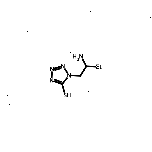 CCC(N)Cn1nnnc1S